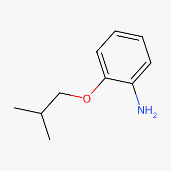 CC(C)COc1ccccc1N